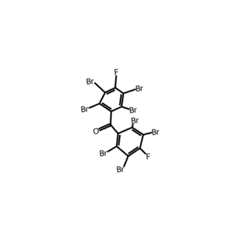 O=C(c1c(Br)c(Br)c(F)c(Br)c1Br)c1c(Br)c(Br)c(F)c(Br)c1Br